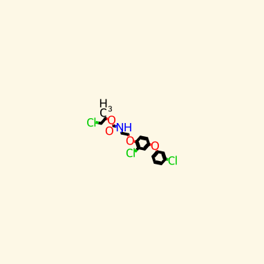 CC(CCl)OC(=O)NCCOc1ccc(Oc2cccc(Cl)c2)cc1Cl